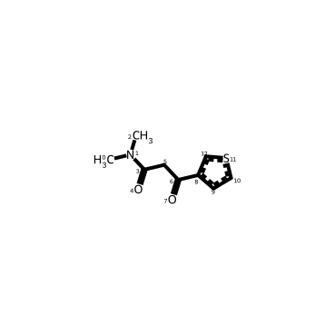 CN(C)C(=O)CC(=O)c1ccsc1